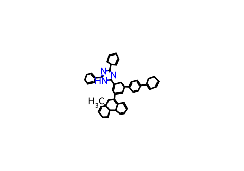 CC12C=CCCC1C1C=CC=CC1=C(C1=CC(c3ccc(C4=CC=CCC4)cc3)CC(C3N=C(C4C=CC=CC4)N=C(C4=CCCC=C4)N3)=C1)C2